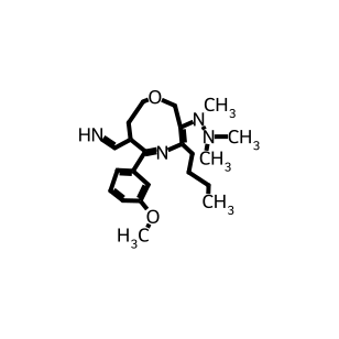 CCCCC1=C(\N(C)N(C)C)COCCC(C=N)/C(c2cccc(OC)c2)=N\1